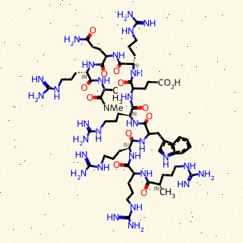 CNC(=O)C(C)NC(=O)[C@H](CCCNC(=N)N)NC(=O)C(CCC(N)=O)NC(=O)[C@H](CCCNC(=N)N)NC(=O)C(CCC(=O)O)NC(=O)[C@H](CCCNC(=N)N)NC(=O)C(Cc1c[nH]c2ccccc12)NC(=O)[C@H](CCCNC(=N)N)NC(=O)C(CCCNC(=N)N)NC(=O)[C@@H](C)CCCNC(=N)N